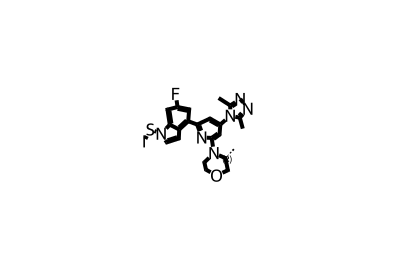 Cc1nnc(C)n1-c1cc(-c2cc(F)cc3c2ccn3SI)nc(N2CCOC[C@H]2C)c1